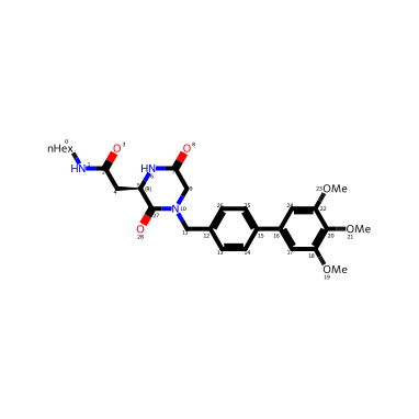 CCCCCCNC(=O)C[C@H]1NC(=O)CN(Cc2ccc(-c3cc(OC)c(OC)c(OC)c3)cc2)C1=O